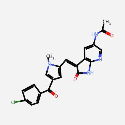 CC(=O)Nc1cnc2c(c1)C(=Cc1cc(C(=O)c3ccc(Cl)cc3)cn1C)C(=O)N2